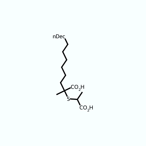 CCCCCCCCCCCCCCCCC(C)(SC(C)C(=O)O)C(=O)O